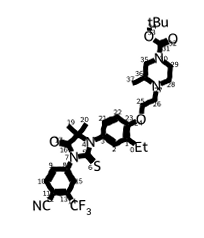 CCc1cc(N2C(=S)N(c3ccc(C#N)c(C(F)(F)F)c3)C(=O)C2(C)C)ccc1OCCN1CCN(C(=O)OC(C)(C)C)CC1C